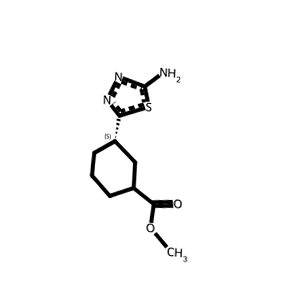 COC(=O)C1CCC[C@H](c2nnc(N)s2)C1